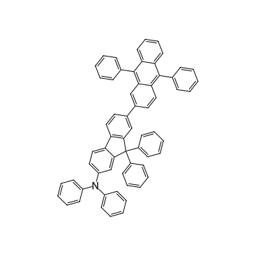 c1ccc(-c2c3ccccc3c(-c3ccccc3)c3cc(-c4ccc5c(c4)C(c4ccccc4)(c4ccccc4)c4cc(N(c6ccccc6)c6ccccc6)ccc4-5)ccc23)cc1